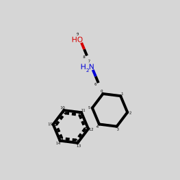 C1CCCCC1.CN.CO.c1ccccc1